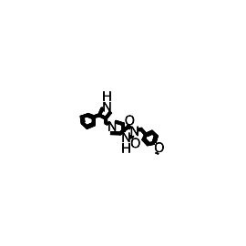 COc1ccc(CN2C(=O)NC3(CCN(CC4CNCC4c4ccccc4)CC3)C2=O)cc1